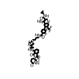 CNc1c(C(=O)NC2CC2)cnc2cc(C(F)(F)F)c(-c3ccc(C(=O)NCCCCn4cc(C(C)(C)Nc5cccc6c5C(=O)N(C5CCC(=O)NC5=O)C6=O)nn4)c(F)c3)cc12